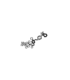 CCCOC(=O)OC(C(=O)OC)N1C(=O)Cc2cc(CCN3CCN(c4nsc5ccccc45)CC3)c(Cl)cc21